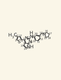 Cc1csc(-c2nc(Nc3cccc(CN4CCCC4)c3)nc3[nH]ccc23)c1